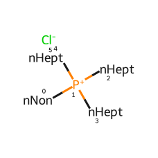 CCCCCCCCC[P+](CCCCCCC)(CCCCCCC)CCCCCCC.[Cl-]